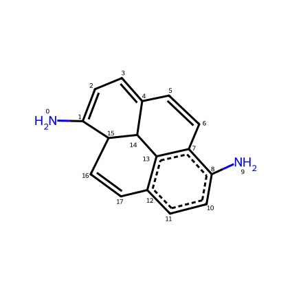 NC1=CC=C2C=Cc3c(N)ccc4c3C2C1C=C4